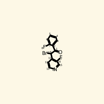 O=C(c1ccccc1F)C(Br)c1ccncc1F